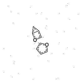 [c]1ccco1.[c]1oc2cc1-2